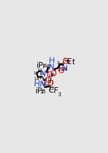 CCOc1cc(C(=O)N[C@H](C(=O)N2CCC[C@H]2C(=O)N[C@H](C(=O)C(F)(F)F)C(C)C)C(C)C)on1